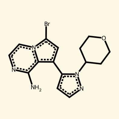 Nc1nccn2c(Br)cc(-c3ccnn3C3CCOCC3)c12